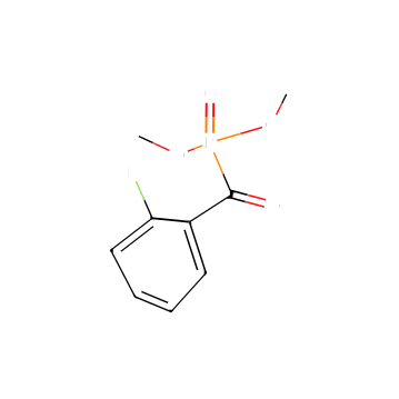 COP(=O)(OC)C(=O)c1ccccc1F